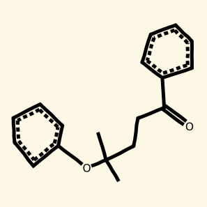 CC(C)(CCC(=O)c1ccccc1)Oc1ccccc1